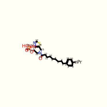 CCCc1ccc(CCCCCCCCC(=O)N(CCOP(=O)(O)O)Cc2cncs2)cc1